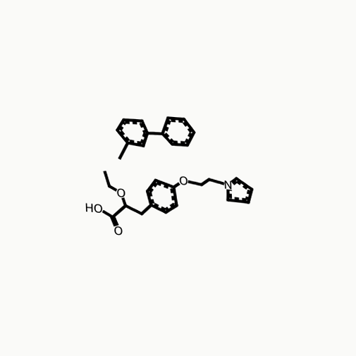 CCOC(Cc1ccc(OCCn2cccc2)cc1)C(=O)O.Cc1cccc(-c2ccccc2)c1